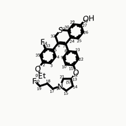 CCOc1ccc(C2=C(c3ccc(O[C@H]4CCN(CCCF)C4)cc3)c3ccc(O)cc3SC2)c(F)c1